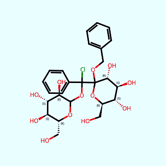 OC[C@H]1OC(OCc2ccccc2)(C(Cl)(O[C]2O[C@H](CO)[C@@H](O)[C@H](O)[C@H]2O)c2ccccc2)[C@H](O)[C@@H](O)[C@@H]1O